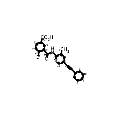 Cc1cc(C#Cc2ccccc2)cnc1NC(=O)c1cc(C(=O)O)ccc1Cl